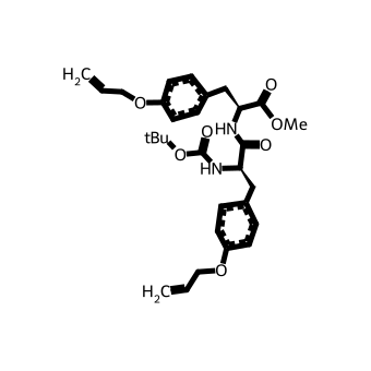 C=CCOc1ccc(C[C@H](NC(=O)[C@@H](Cc2ccc(OCC=C)cc2)NC(=O)OC(C)(C)C)C(=O)OC)cc1